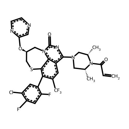 C=CC(=O)N1[C@H](C)CN(c2nc(=O)n3c4c(c(-c5cc(Cl)c(F)cc5F)c(C(F)(F)F)cc24)SC[C@@H](Oc2cnccn2)C3)C[C@@H]1C